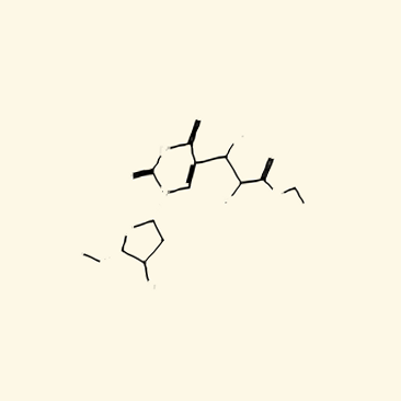 CCOC(=O)C(Br)C(O)c1cn([C@@H]2CC(O)[C@H](CO)O2)c(=O)[nH]c1=O